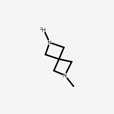 [2H]N1CC2(C1)CN(C)C2